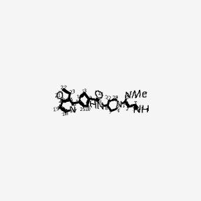 CN/C(=C\C=N)N1CCC(NC(=O)c2ccc(-c3nccc4occc34)cc2)CC1